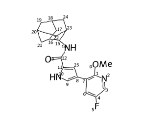 COc1ncc(F)cc1-c1c[nH]c(C(=O)NC2C3CC4CC(C3)CC2C4)c1